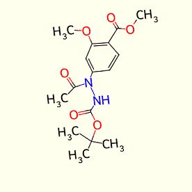 COC(=O)c1ccc(N(NC(=O)OC(C)(C)C)C(C)=O)cc1OC